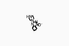 [O-][n+]1nc(N2CCNCC2)nc2ccccc21